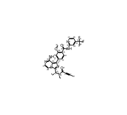 CC#CC(=O)N(C)[C@@H](C)c1nc(-c2ccc(C(=O)Nc3cc(C(F)(F)F)ccn3)c(OC)c2)c2c(N)nccn12